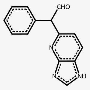 O=CC(c1ccccc1)c1ccc2[nH]cnc2n1